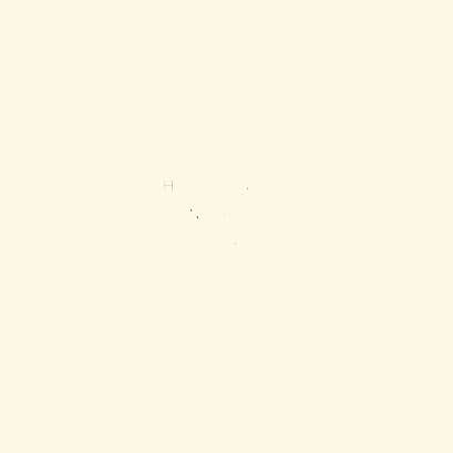 CC(C)OC(=O)[N+]S